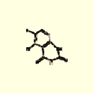 O=c1[nH]c(=O)c2c(Cl)c(F)ccc2[nH]1